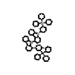 c1ccc(C2(c3ccccc3)c3ccccc3-c3ccc(-c4cccc5c6ccccc6n(-c6cccc7c6c6ccccc6n7-c6cccc([Si](c7ccccc7)(c7ccccc7)c7ccccc7)c6)c45)cc32)cc1